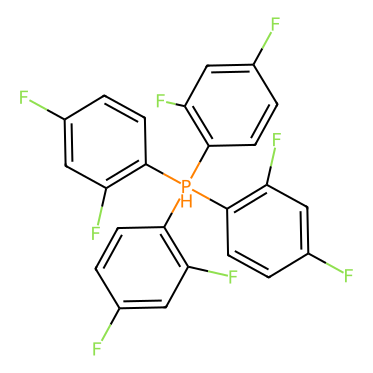 Fc1ccc([PH](c2ccc(F)cc2F)(c2ccc(F)cc2F)c2ccc(F)cc2F)c(F)c1